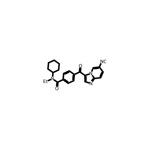 [C-]#[N+]c1ccc2ncc(C(=O)c3ccc(C(=O)N(CC)C4CCCCC4)cc3)n2c1